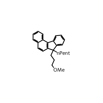 CCCCCC1(CCCOC)c2ccccc2-c2c1ccc1ccccc21